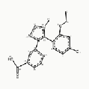 CCOc1cc(Cl)ccc1-c1c(-c2cc(C(=O)O)ccn2)ncn1C